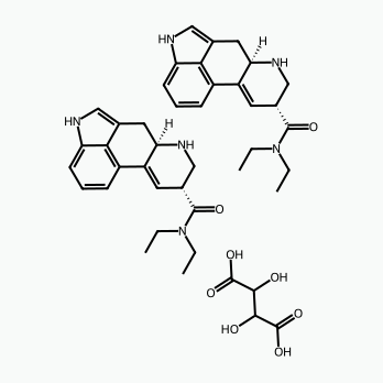 CCN(CC)C(=O)[C@@H]1C=C2c3cccc4[nH]cc(c34)C[C@H]2NC1.CCN(CC)C(=O)[C@@H]1C=C2c3cccc4[nH]cc(c34)C[C@H]2NC1.O=C(O)C(O)C(O)C(=O)O